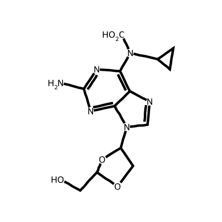 Nc1nc(N(C(=O)O)C2CC2)c2ncn(C3COC(CO)O3)c2n1